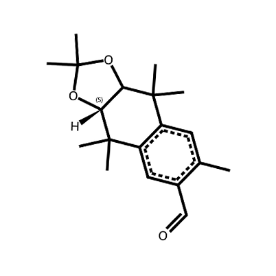 Cc1cc2c(cc1C=O)C(C)(C)[C@@H]1OC(C)(C)OC1C2(C)C